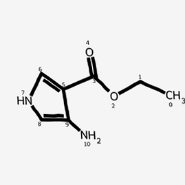 CCOC(=O)c1c[nH]cc1N